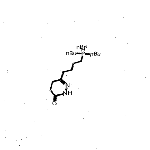 CCCC[PH](CCCC)(CCCC)CCCCC1=NNC(=O)CC1